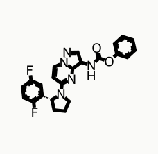 O=C(NC1C=NN2C=CC(N3CCC[C@@H]3c3cc(F)ccc3F)=NC12)Oc1ccccc1